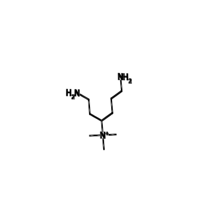 C[N+](C)(C)C(CCN)CCCN